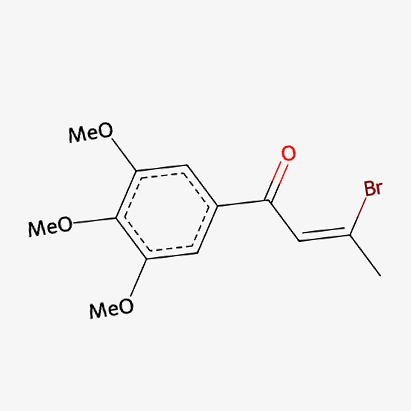 COc1cc(C(=O)/C=C(/C)Br)cc(OC)c1OC